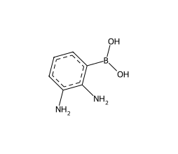 Nc1cccc(B(O)O)c1N